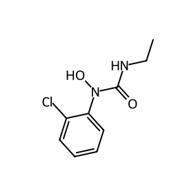 CCNC(=O)N(O)c1ccccc1Cl